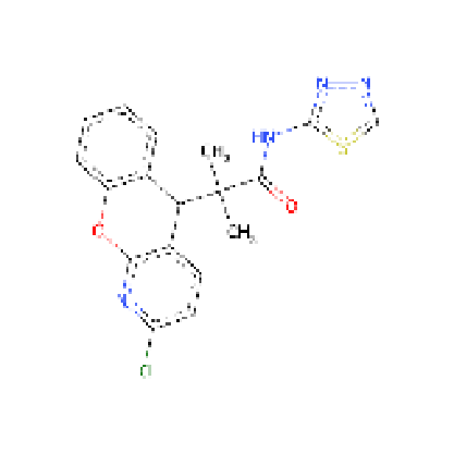 CC(C)(C(=O)Nc1nncs1)C1c2ccccc2Oc2nc(Cl)ccc21